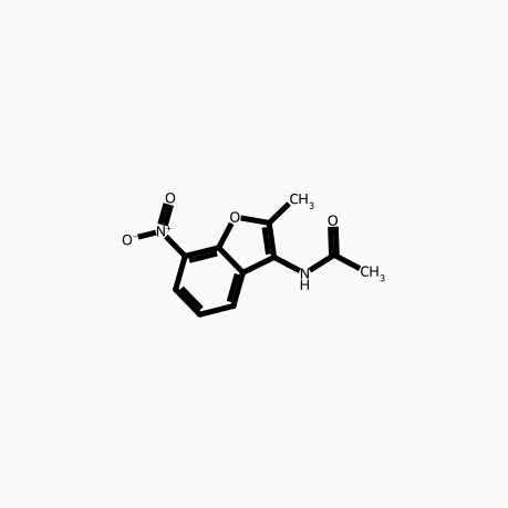 CC(=O)Nc1c(C)oc2c([N+](=O)[O-])cccc12